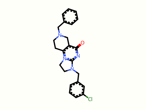 O=c1nc2n(c3c1CN(Cc1ccccc1)CC3)CCN2Cc1cccc(Cl)c1